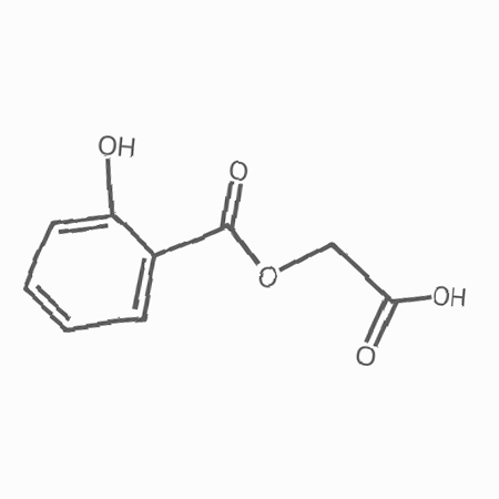 O=C(O)COC(=O)c1ccccc1O